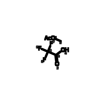 COC(C)=O.O=C(O)C(F)(F)F